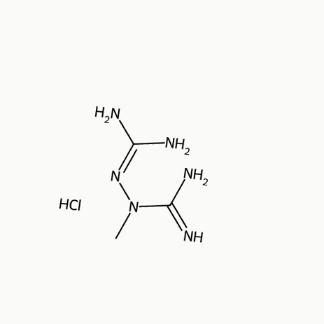 CN(N=C(N)N)C(=N)N.Cl